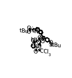 C[C@H](NC(=O)C(OC(=O)C1(/C=C/c2ccc3ccc([C@@H](C)NC(=O)OC(C)(C)C)nc3c2)CCC(O[Si](C)(C)C(C)(C)C)CC1)C1CC1)C(=O)N1CCC[C@@H](C(=O)OCC(Cl)(Cl)Cl)N1